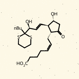 CCCCC1([C@@H](O)/C=C/[C@H]2[C@H](O)CC(=O)[C@@H]2C/C=C\CCCC(=O)O)SCCCS1